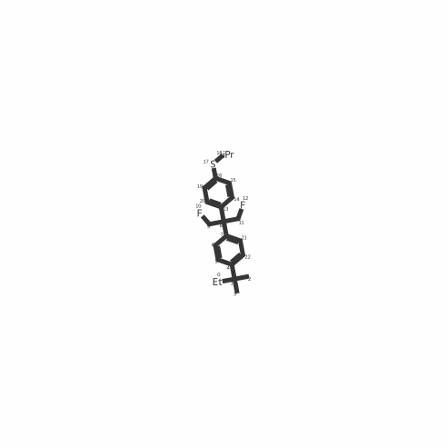 CCC(C)(C)c1ccc(C(CF)(CF)c2ccc(SC(C)C)cc2)cc1